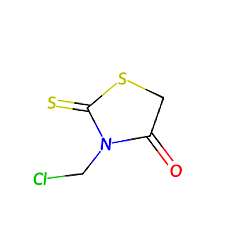 O=C1CSC(=S)N1CCl